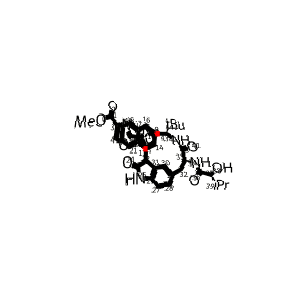 COC(=O)c1coc(-c2nc3oc2[C@@]2(c4cccc5ccccc45)C(=O)Nc4ccc(cc42)C[C@H](NC(=O)[C@@H](O)C(C)C)C(=O)N[C@H]3C(C)(C)C)n1